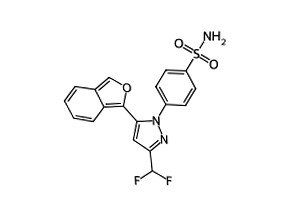 NS(=O)(=O)c1ccc(-n2nc(C(F)F)cc2-c2occ3ccccc23)cc1